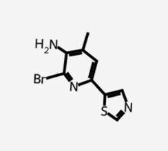 Cc1cc(-c2cncs2)nc(Br)c1N